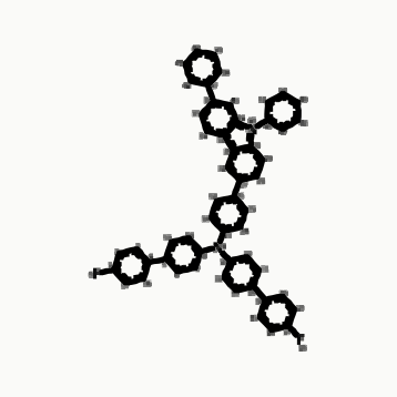 Fc1ccc(-c2ccc(N(c3ccc(-c4ccc(F)cc4)cc3)c3ccc(-c4ccc5c(c4)c4ccc(-c6ccccc6)cc4n5-c4ccccc4)cc3)cc2)cc1